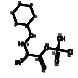 CC(C)C(NOC1CCCCC1)C(=O)OP(=O)(O)Cl